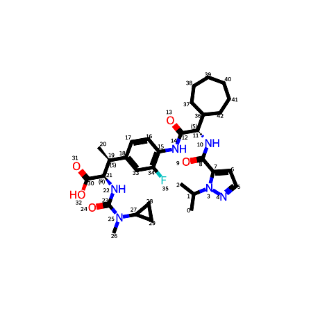 CC(C)n1nccc1C(=O)N[C@H](C(=O)Nc1ccc([C@H](C)[C@@H](NC(=O)N(C)C2CC2)C(=O)O)cc1F)C1CCCCCC1